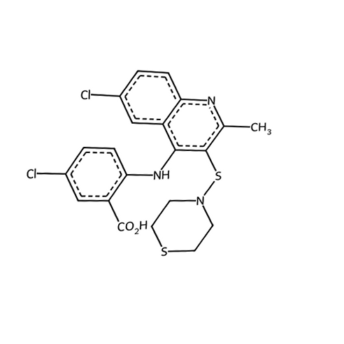 Cc1nc2ccc(Cl)cc2c(Nc2ccc(Cl)cc2C(=O)O)c1SN1CCSCC1